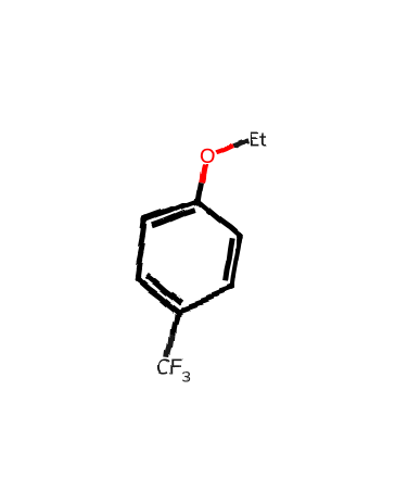 [CH2]COc1ccc(C(F)(F)F)cc1